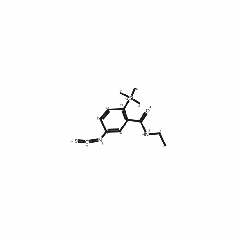 CCNC(=O)c1cc(N=C=S)ccc1[Si](C)(C)C